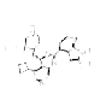 Cc1cc2c(-c3nc(NC4CCNCC4(C)C)c4c(C5CCC5)cncc4n3)ccnc2[nH]1